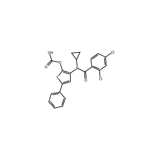 O=C(O)Oc1sc(-c2ccccc2)cc1N(C(=O)c1ccc(Cl)cc1Cl)C1CC1